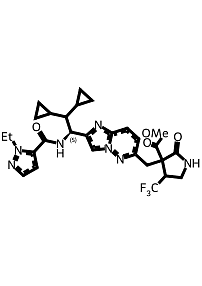 CCn1nccc1C(=O)N[C@H](c1cn2nc(CC3(C(=O)OC)C(=O)NCC3C(F)(F)F)ccc2n1)C(C1CC1)C1CC1